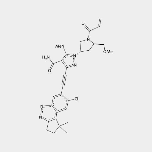 C=CC(=O)N1C[C@@H](n2nc(C#Cc3cc4nnc5c(c4cc3Cl)C(C)(C)CC5)c(C(N)=O)c2NC)C[C@@H]1COC